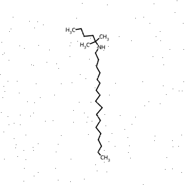 CCCCCCCCCCCCCCCCCCNC(C)(C)CCCC